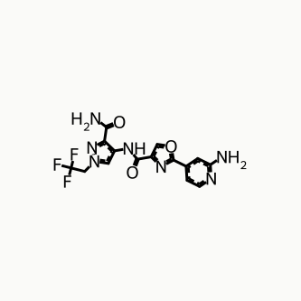 NC(=O)c1nn(CC(F)(F)F)cc1NC(=O)c1coc(-c2ccnc(N)c2)n1